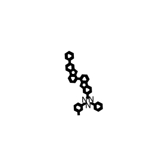 CC1=CCC=C(c2nc(-c3ccccc3)nc(-c3ccc4c(c3)Cc3c-4cccc3-c3cccc4c3Cc3cc(-c5ccccc5)ccc3-4)n2)C1